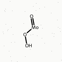 [O]=[Mo][O]O